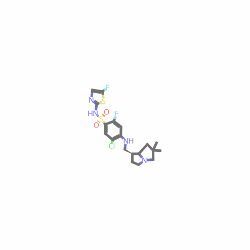 CC1(C)CC2[C@H](CNc3cc(F)c(S(=O)(=O)Nc4ncc(F)s4)cc3Cl)CCN2C1